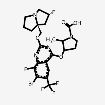 CC1C(Oc2nc(OC[C@@]34CCCN3C[C@H](F)C4)nc3c(F)c(Br)c(C(F)(F)F)cc23)CCN1C(=O)O